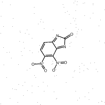 O=C1N=c2ccc([N+](=O)[O-])c([N+](=O)[O-])c2=N1